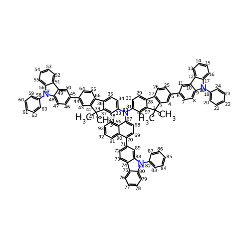 CC1(C)c2cc(-c3ccc4c(c3)c3ccccc3n4-c3ccccc3)ccc2-c2ccc(N(c3ccc4c(c3)C(C)(C)c3cc(-c5ccc6c(c5)c5ccccc5n6-c5ccccc5)ccc3-4)c3ccc(-c4ccc5c6ccccc6n(-c6ccccc6)c5c4)c4ccccc34)cc21